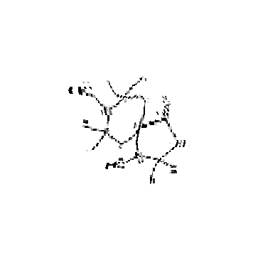 CC1(C)CC2(CC(C)(C)N1O)C(=O)NC(C)(C)N2O